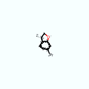 CC(C)c1ccc2c(c1)OC[C@H]2C